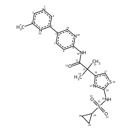 Cc1cncc(-c2ccc(NC(=O)C(C)(C)c3csc(NS(=O)(=O)C4CC4)n3)nc2)n1